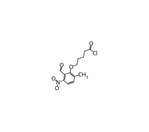 Cc1ccc([N+](=O)[O-])c(C=O)c1OCCCCC(=O)Cl